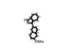 COc1ccc2cc(-c3n[nH]c4ccccc34)ccc2c1